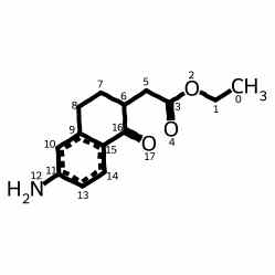 CCOC(=O)CC1CCc2cc(N)ccc2C1=O